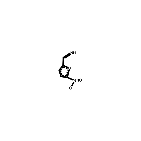 N=Cc1ccc([N+](=O)[O-])o1